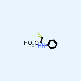 O=C(O)[C@H](C=S)Nc1ccccc1